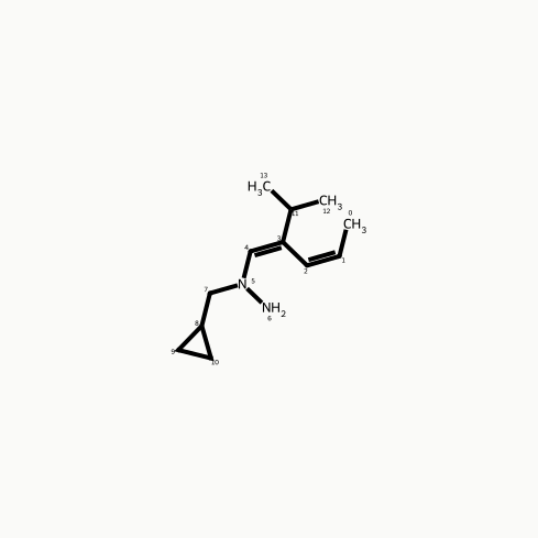 C/C=C\C(=C/N(N)CC1CC1)C(C)C